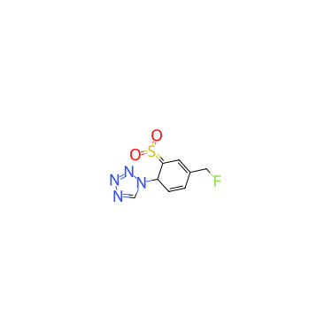 O=S(=O)=C1C=C(CF)C=CC1n1cnnn1